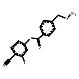 COCc1ccc(C(=O)Oc2ccc(C#N)c(F)c2)cc1